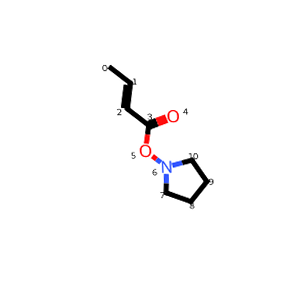 CC=CC(=O)ON1CCCC1